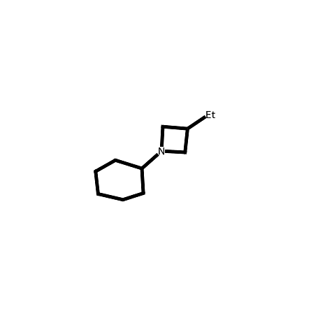 CCC1CN(C2CCCCC2)C1